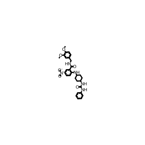 COc1ccc(CNC(=O)c2cc([N+](=O)[O-])ccc2NC2CCC(NC(=O)Nc3ccccc3)CC2)cc1OC